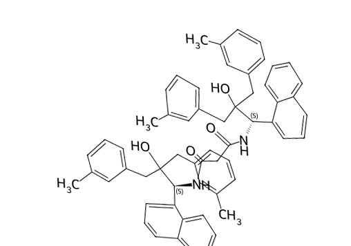 Cc1cccc(CC(O)(Cc2cccc(C)c2)[C@@H](NC(=O)CC(=O)N[C@@H](c2cccc3ccccc23)C(O)(Cc2cccc(C)c2)Cc2cccc(C)c2)c2cccc3ccccc23)c1